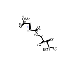 CCN(CC)C(=O)C(=O)COC(=O)/C=C/C(=O)OC